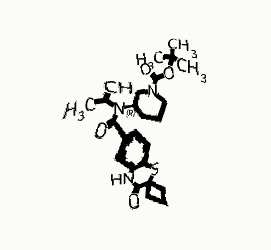 CC(C)N(C(=O)c1ccc2c(c1)NC(=O)C1(CCC1)S2)[C@@H]1CCCN(C(=O)OC(C)(C)C)C1